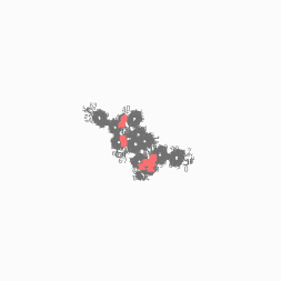 C[Si](C)(C)c1ccc(-c2cc(F)c(N(c3ccccc3[Si](C)(C)C)c3ccc4ccc5c(N(c6ccccc6[Si](C)(C)C)c6c(F)cc(-c7ccc([Si](C)(C)C)cc7)cc6-c6ccc([Si](C)(C)C)cc6)ccc6ccc3c4c65)c(-c3ccc([Si](C)(C)C)cc3)c2)cc1